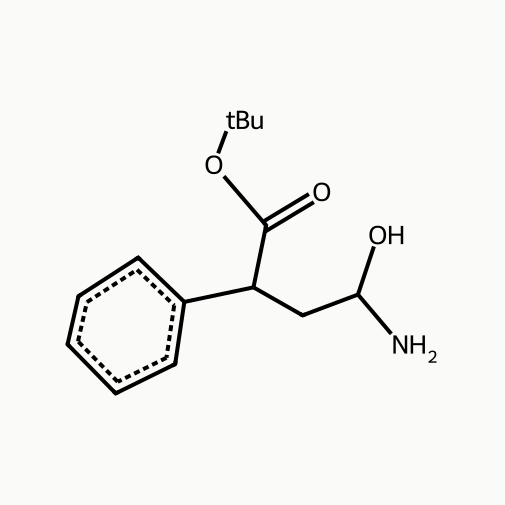 CC(C)(C)OC(=O)C(CC(N)O)c1ccccc1